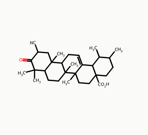 CC1CCC2(C(=O)O)CCC3(C)C(=CCC4C5(C)CC(C#N)C(=O)C(C)(C)C5CCC43C)C2C1C